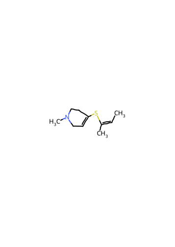 C/C=C(/C)SC1=CCN(C)CC1